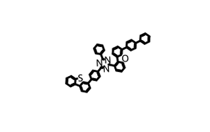 c1ccc(-c2ccc(-c3cccc4c3oc3cccc(-c5nc(-c6ccccc6)nc(-c6ccc(-c7cccc8c7sc7ccccc78)cc6)n5)c34)cc2)cc1